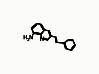 Nc1cccc2cc(/C=C/c3ccccc3)cnc12